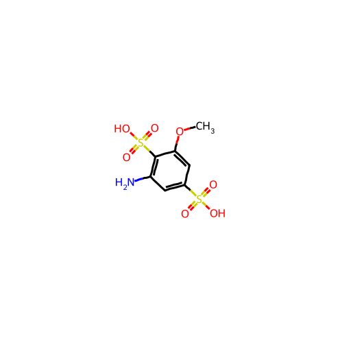 COc1cc(S(=O)(=O)O)cc(N)c1S(=O)(=O)O